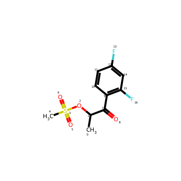 CC(OS(C)(=O)=O)C(=O)c1ccc(F)cc1F